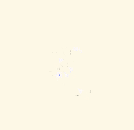 Cc1c(F)c(N)cc(-c2nc3c4c(nc(OCCCN5C[C@H]6C[C@@H]5CO6)nc4c2F)N2C[C@H]4CC[C@H](N4)[C@H]2[C@H](C)O3)c1C(F)(F)F